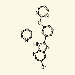 Brc1cnc2[nH]c(-c3cccc(Oc4ncccn4)c3)nc2c1.c1ccncc1